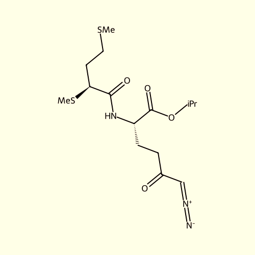 CSCC[C@H](SC)C(=O)N[C@@H](CCC(=O)C=[N+]=[N-])C(=O)OC(C)C